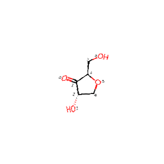 O=C1[C@@H](O)CO[C@@H]1CO